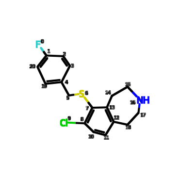 Fc1ccc(CSc2c(Cl)ccc3c2CCNCC3)cc1